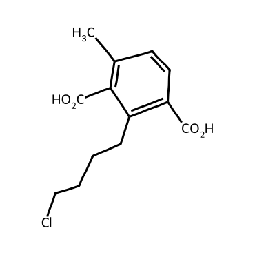 Cc1ccc(C(=O)O)c(CCCCCl)c1C(=O)O